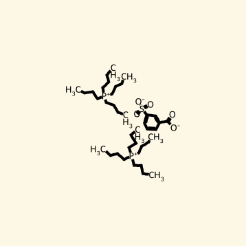 CCCC[P+](CCCC)(CCCC)CCCC.CCCC[P+](CCCC)(CCCC)CCCC.O=C([O-])c1cccc(S(=O)(=O)[O-])c1